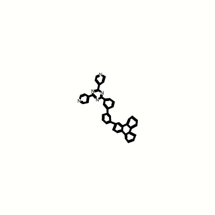 c1cc(-c2cccc(-c3nc(-c4ccncc4)nc(-c4ccncc4)n3)c2)cc(-c2ccc3c4ccccc4c4ccccc4c3c2)c1